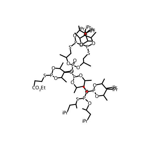 CCOC(=O)CCSP(OC(C)COP(OC(C)COP(OC(C)CC(C)C)SC(C)CC(C)C)OC(C)CSP(OC(C)CC(C)C)OC(C)CC(C)C)OC(C)COP(=O)(OC(C)CSP(OC(C)CC(C)C)OC(C)CC(C)C)OC(C)CSP(OC(C)CC(C)C)OC(C)CC(C)C